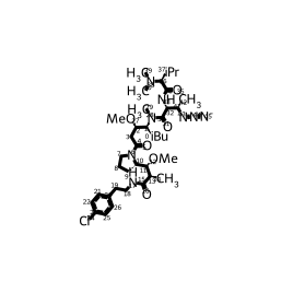 CC[C@H](C)[C@@H]([C@@H](CC(=O)N1CCC[C@H]1[C@H](OC)[C@@H](C)C(=O)NCCc1ccc(Cl)cc1)OC)N(C)C(=O)[C@H](NC(=O)[C@H](C(C)C)N(C)C)[C@H](C)N=[N+]=[N-]